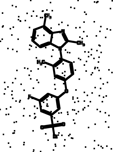 CCS(=O)(=O)c1cc(F)cc(Oc2ccc(-n3c(C)nc4c(C(F)(F)F)cccc43)c(C)c2)c1